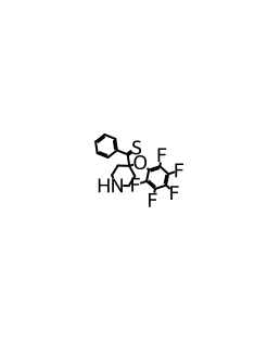 Fc1c(F)c(F)c(OC2(C(=S)c3ccccc3)CCNCC2)c(F)c1F